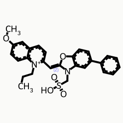 CCC[n+]1c(/C=C2\Oc3ccc(-c4ccccc4)cc3N2CS(=O)(=O)O)ccc2cc(OC)ccc21